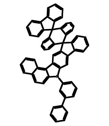 c1ccc(-c2cccc(-n3c4cc5c(cc4c4c6ccccc6ccc43)C3(c4ccccc4-5)c4ccccc4C4(c5ccccc5-c5ccccc54)c4ccccc43)c2)cc1